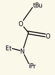 CCN(C(=O)OC(C)(C)C)C(C)C